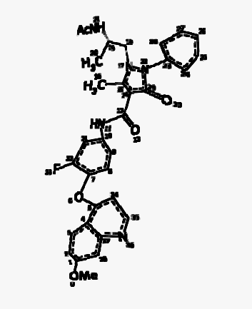 COc1ccc2c(Oc3ccc(NC(=O)c4c(C)n(C[C@H](C)NC(C)=O)n(-c5ccccc5)c4=O)cc3F)ccnc2c1